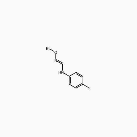 CCON=CNc1ccc(F)cc1